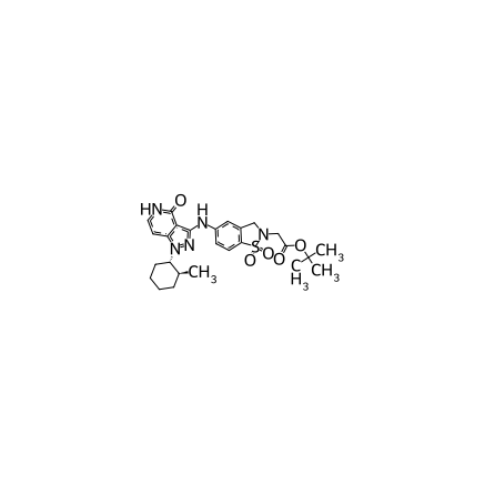 C[C@H]1CCCC[C@@H]1n1nc(Nc2ccc3c(c2)CN(CC(=O)OC(C)(C)C)S3(=O)=O)c2c(=O)[nH]ccc21